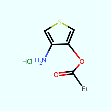 CCC(=O)Oc1cscc1N.Cl